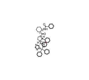 O=C(N[C@@H]1CCCC[C@@H]1C(=O)N1CC[C@H]2[C@@H](c3ncnn3C(c3ccccc3)(c3ccccc3)c3ccccc3)Nc3ccccc3[C@H]21)c1ccccc1